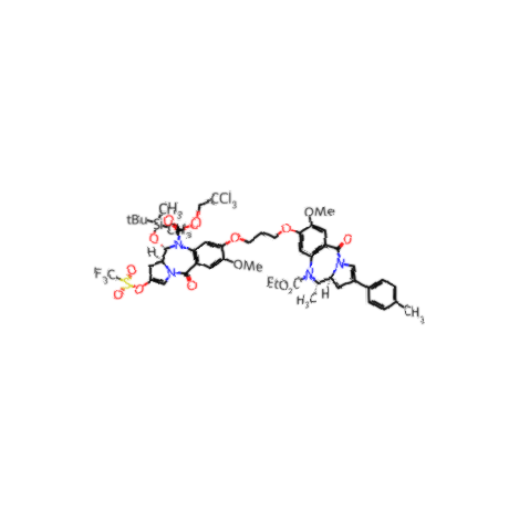 CCOC(=O)N1c2cc(OCCCOc3cc4c(cc3OC)C(=O)N3C=C(OS(=O)(=O)C(F)(F)F)C[C@H]3[C@H](O[Si](C)(C)C(C)(C)C)N4C(=O)OCC(Cl)(Cl)Cl)c(OC)cc2C(=O)N2C=C(c3ccc(C)cc3)C[C@H]2[C@@H]1C